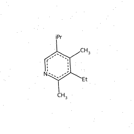 CCc1c(C)ncc(C(C)C)c1C